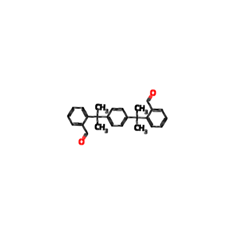 CC(C)(c1ccc(C(C)(C)c2ccccc2C=O)cc1)c1ccccc1C=O